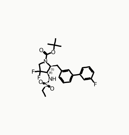 CCS(=O)(=O)N[C@@H]1[C@H](Cc2cccc(-c3cccc(F)c3)c2)N(C(=O)OC(C)(C)C)CC1(F)F